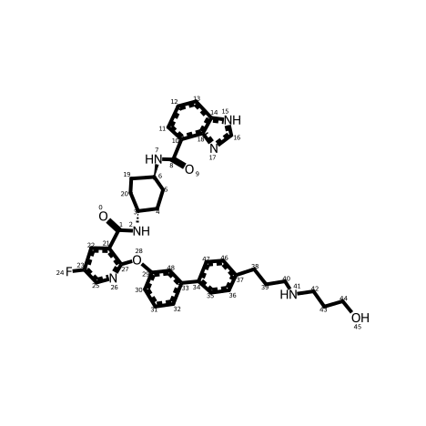 O=C(N[C@H]1CC[C@H](NC(=O)c2cccc3[nH]cnc23)CC1)c1cc(F)cnc1Oc1cccc(-c2ccc(CCCNCCCO)cc2)c1